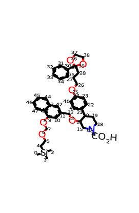 C[Si](C)(C)CCOCOc1cc(COC2CN(C(=O)O)CCC2c2ccc(OCCCC3(c4ccccc4)OCCO3)cc2)cc2ccccc12